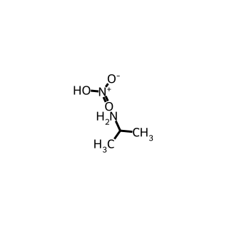 CC(C)N.O=[N+]([O-])O